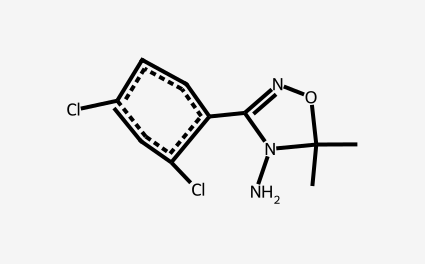 CC1(C)ON=C(c2ccc(Cl)cc2Cl)N1N